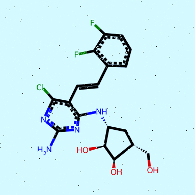 Nc1nc(Cl)c(/C=C/c2cccc(F)c2F)c(N[C@@H]2C[C@H](CO)[C@@H](O)[C@H]2O)n1